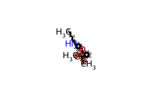 CCCCCCNc1ccc(OCc2ccccc2/C(=C\OC)C(=O)OC)cc1